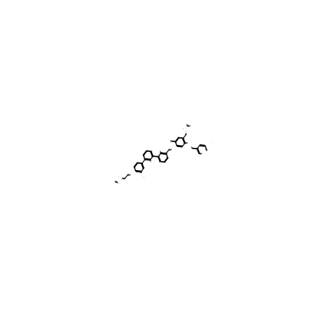 Cc1c(COc2cc(OCc3cncc(C#N)c3)c(CNC(C)C(=O)O)cc2Cl)cccc1-c1cccc(-c2ccc(OCCNC(C)C(=O)O)c([N+](=O)[O-])c2)c1C